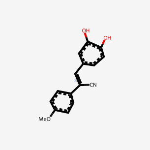 COc1ccc(/C(C#N)=C/c2ccc(O)c(O)c2)cc1